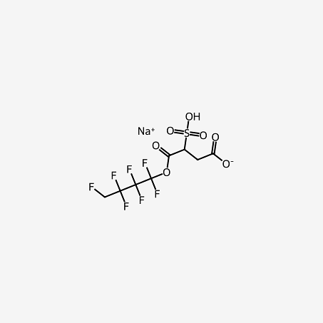 O=C([O-])CC(C(=O)OC(F)(F)C(F)(F)C(F)(F)CF)S(=O)(=O)O.[Na+]